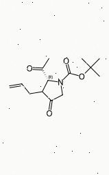 C=CCC1C(=O)CN(C(=O)OC(C)(C)C)[C@H]1C(C)=O